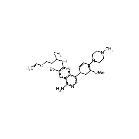 C=COCCC(C)Nc1nc2c(C3C=CC(N4CCN(C)CC4)=C(OC)C3)cnc(N)c2nc1CC